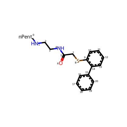 CCCCCNCCNC(=O)CSc1ccccc1-c1ccccc1